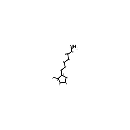 CC1CCCC1CCCCCCN